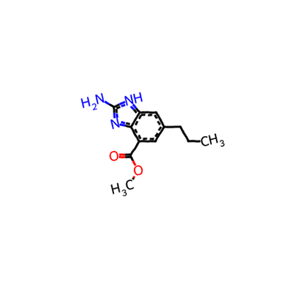 CCCc1cc(C(=O)OC)c2nc(N)[nH]c2c1